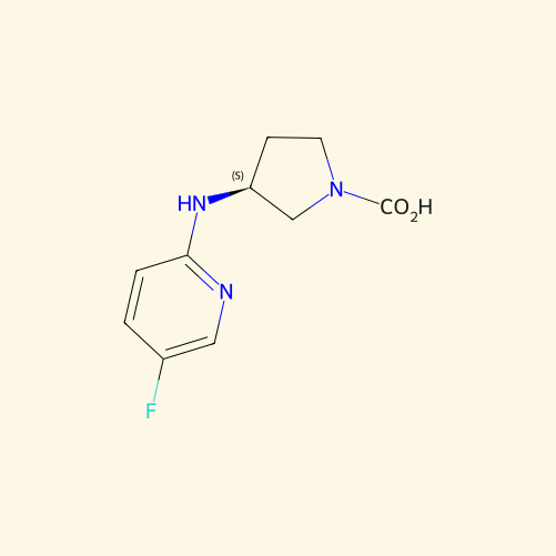 O=C(O)N1CC[C@H](Nc2ccc(F)cn2)C1